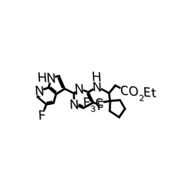 CCOC(=O)CC(Nc1nc(-c2c[nH]c3ncc(F)cc23)ncc1F)C1(C(F)(F)F)CCCC1